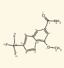 COc1cc(C(N)=O)cc2cc(C(F)(F)F)cnc12